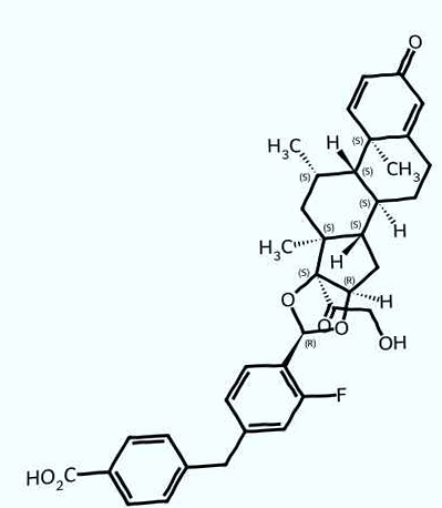 C[C@H]1C[C@@]2(C)[C@@H](C[C@H]3O[C@@H](c4ccc(Cc5ccc(C(=O)O)cc5)cc4F)O[C@]32C(=O)CO)[C@@H]2CCC3=CC(=O)C=C[C@]3(C)[C@H]21